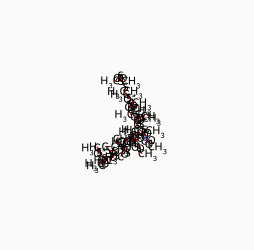 CCOC(=O)CC(SP(=S)(OC)OC)C(=O)OCC.CCOP(=S)(OCC)OP(=S)(OCC)OCC.CCOP(=S)(OCC)SCC[S+]([O-])CC.CCOP(=S)(OCC)SCSCC.CC[S+]([O-])CC(C)SP(=O)(OC)OC.CC[S+]([O-])CCSP(=O)(OC)OC.COC(=O)/C(C)=C/OP(=S)(OC)OC.COP(=S)(OC)SCCSC(C)C